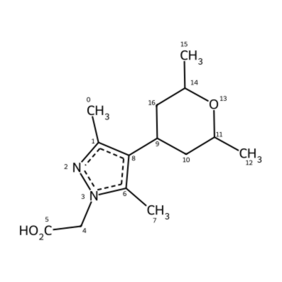 Cc1nn(CC(=O)O)c(C)c1C1CC(C)OC(C)C1